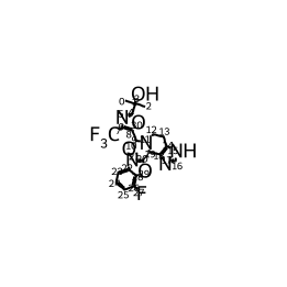 CC(C)(O)c1nc(C(F)(F)F)c(C(=O)N2CCc3[nH]cnc3[C@H]2c2nc3cccc(F)c3o2)o1